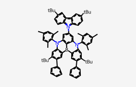 Cc1cc(C)c(N2c3cc(C(C)(C)C)c(-c4ccccc4)cc3B3c4cc(-c5ccccc5)c(C(C)(C)C)cc4N(c4c(C)cc(C)cc4C)c4cc(-n5c6ccc(C(C)(C)C)cc6c6cc(C(C)(C)C)ccc65)cc2c43)c(C)c1